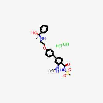 CCCNc1cc(-c2ccc(OCCN[C@@](C)(O)c3ccccc3)cc2)ccc1C(=O)NS(C)(=O)=O.Cl.Cl